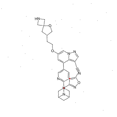 Cc1cc(CN2C3CC2CN(c2ccc(-c4cc(OCCC5COC6(CNC6)C5)cn5ncc(C#N)c45)cn2)C3)no1